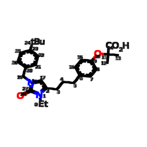 CCn1c(CCCc2ccc(OC(C)(C)C(=O)O)cc2)cn(Cc2ccc(C(C)(C)C)cc2)c1=O